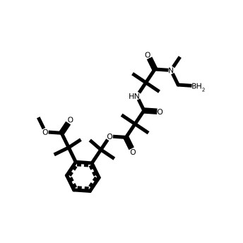 BCN(C)C(=O)C(C)(C)NC(=O)C(C)(C)C(=O)OC(C)(C)c1ccccc1C(C)(C)C(=O)OC